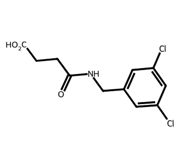 O=C(O)CCC(=O)NCc1cc(Cl)cc(Cl)c1